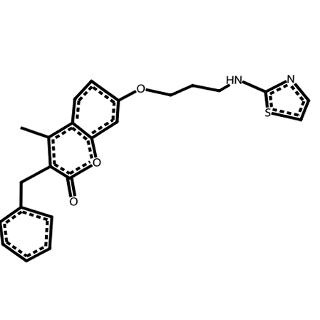 Cc1c(Cc2ccccc2)c(=O)oc2cc(OCCCNc3nccs3)ccc12